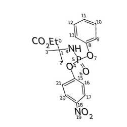 CCOC(=O)C(C)(C)NP(=O)(Oc1ccccc1)Oc1ccc([N+](=O)[O-])cc1